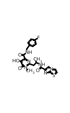 CC(Cc1nc(C(=O)NCc2ccc(F)cc2)c(O)c(=O)n1C)NC(=O)c1cn2ccsc2n1